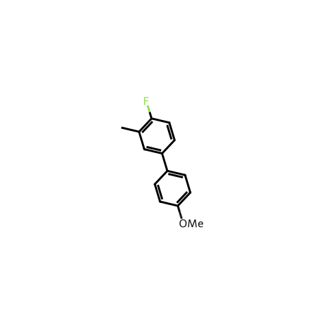 COc1ccc(-c2ccc(F)c(C)c2)cc1